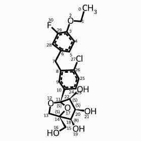 CCOc1ccc(Cc2cc([C@]34OC[C@](CO)(O3)[C@H](O)[C@H](O)[C@@H]4O)ccc2Cl)cc1F